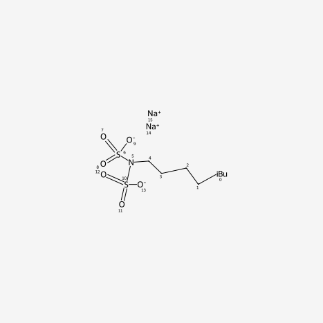 CCC(C)CCCCN(S(=O)(=O)[O-])S(=O)(=O)[O-].[Na+].[Na+]